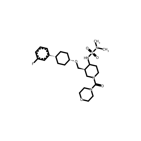 CN(C)S(=O)(=O)NC1CCN(C(=O)N2CCOCC2)C[C@H]1CO[C@H]1CC[C@@H](c2cccc(F)c2)CC1